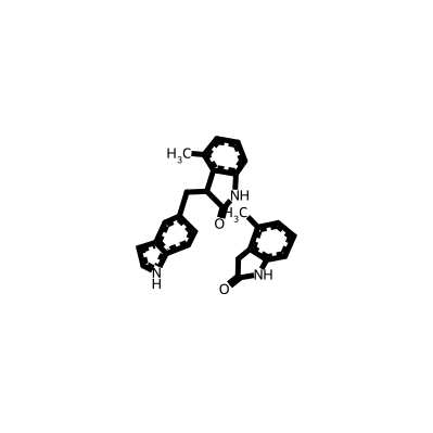 Cc1cccc2c1C(Cc1ccc3[nH]ccc3c1)C(=O)N2.Cc1cccc2c1CC(=O)N2